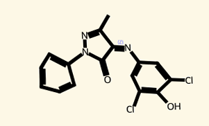 CC1=NN(c2ccccc2)C(=O)/C1=N\c1cc(Cl)c(O)c(Cl)c1